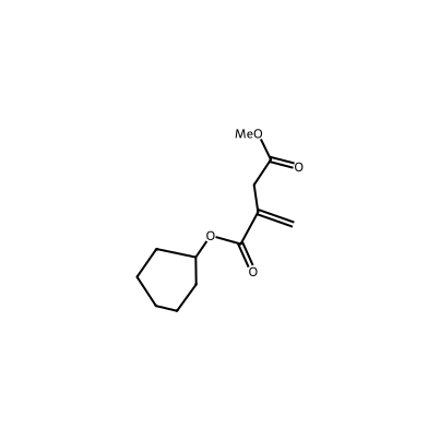 C=C(CC(=O)OC)C(=O)OC1CCCCC1